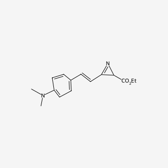 CCOC(=O)C1N=C1/C=C/c1ccc(N(C)C)cc1